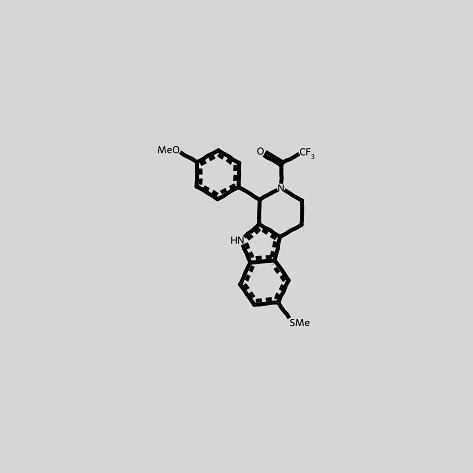 COc1ccc(C2c3[nH]c4ccc(SC)cc4c3CCN2C(=O)C(F)(F)F)cc1